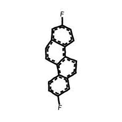 Fc1ccc2c(ccc3c4ccc(F)cc4ccc23)c1